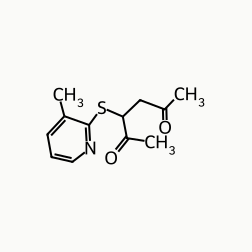 CC(=O)CC(Sc1ncccc1C)C(C)=O